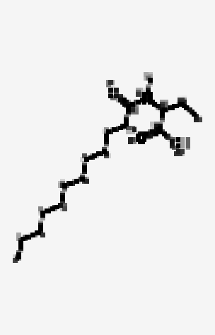 CCCCCCCCCCCC(=O)N(C)C(CC)C(=O)O